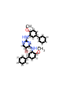 COc1ccc(-c2ccccc2)cc1Nc1ncc(Br)c(Nc2cc(-c3ccccc3)ccc2OC)n1